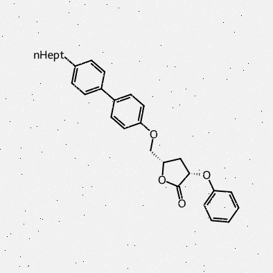 CCCCCCCc1ccc(-c2ccc(OC[C@@H]3C[C@H](Oc4ccccc4)C(=O)O3)cc2)cc1